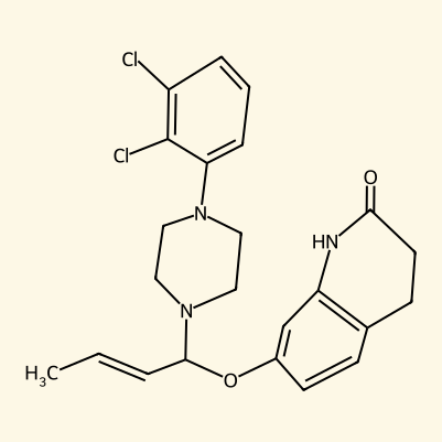 CC=CC(Oc1ccc2c(c1)NC(=O)CC2)N1CCN(c2cccc(Cl)c2Cl)CC1